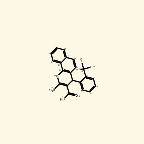 NC1=C(C(=O)O)C(c2ccccc2C(F)(F)F)c2ccc3ccccc3c2O1